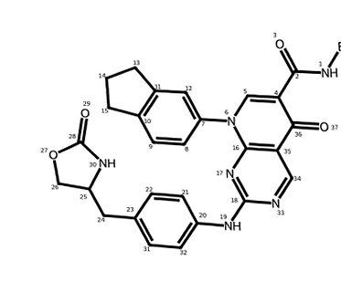 CCNC(=O)c1cn(-c2ccc3c(c2)CCC3)c2nc(Nc3ccc(CC4COC(=O)N4)cc3)ncc2c1=O